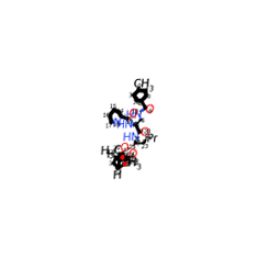 Cc1ccc(C(=O)NC[C@H](NC(=O)c2ccccn2)C(=O)N[C@@H](CC(C)C)B2O[C@@H]3C[C@@H]4C[C@@H](C4(C)C)[C@]3(C)O2)cc1